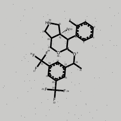 Cc1ccccc1C1C(OC(C)c2cc(C(F)(F)F)cc(C(F)(F)F)c2)OCC2CNC[C@H]21